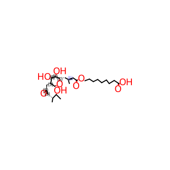 C/C(=C\C(=O)OCCCCCCCCC(=O)O)C[C@@H]1OC[C@H](C[C@@H]2O[C@H]2C(C)C(C)O)[C@@H](O)[C@H]1O